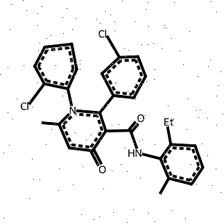 CCc1cccc(C)c1NC(=O)c1c(-c2cccc(Cl)c2)n(-c2ccccc2Cl)c(C)cc1=O